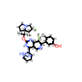 [2H]C([2H])(Oc1nc(N2CC3CCC2CN3)c2cnc(-c3cc(O)ccc3C(F)(F)F)c(F)c2n1)[C@@]12CCCN1C[C@H](F)C2